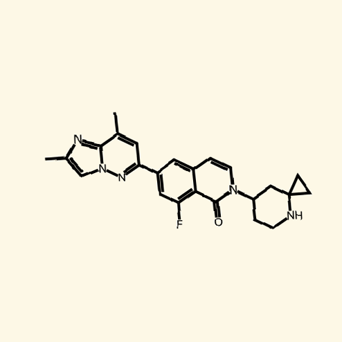 Cc1cn2nc(-c3cc(F)c4c(=O)n(C5CCNC6(CC6)C5)ccc4c3)cc(C)c2n1